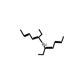 CC=CC=[C](CC)[Ru][C](=CC=CC)CC